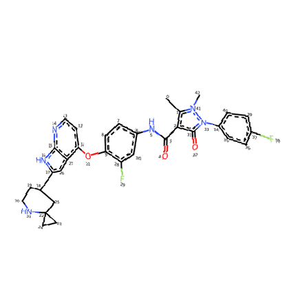 Cc1c(C(=O)Nc2ccc(Oc3ccnc4[nH]c(C5CCNC6(CC6)C5)cc34)c(F)c2)c(=O)n(-c2ccc(F)cc2)n1C